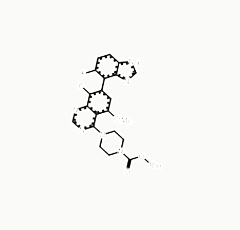 COc1cc(-c2c(F)ccc3[nH]cnc23)c(F)c2ncnc(N3CCN(C(=O)OC(C)(C)C)CC3)c12